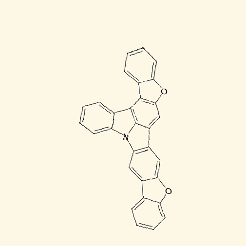 c1ccc2c(c1)oc1cc3c4cc5oc6ccccc6c5c5c6ccccc6n(c3cc12)c45